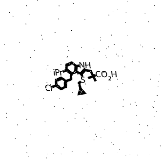 CC(C)c1ccc2[nH]c(CC(C)(C)C(=O)O)c(SCC3CC3)c2c1Cc1ccc(Cl)cc1